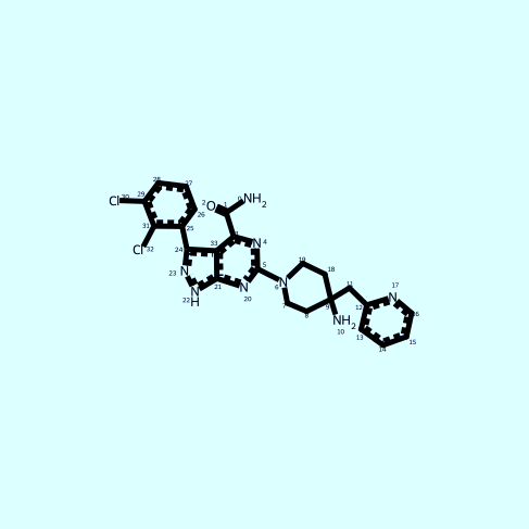 NC(=O)c1nc(N2CCC(N)(Cc3ccccn3)CC2)nc2[nH]nc(-c3cccc(Cl)c3Cl)c12